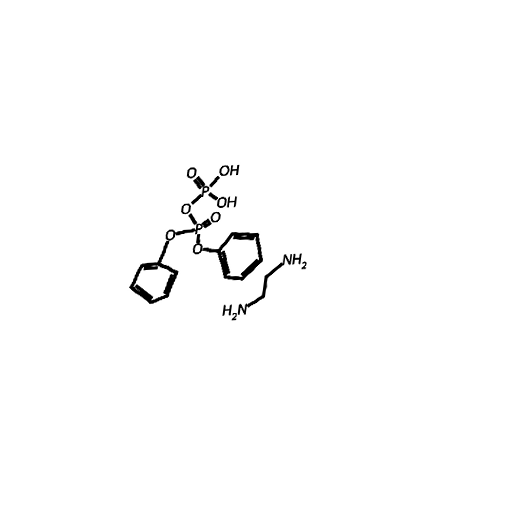 NCCN.O=P(O)(O)OP(=O)(Oc1ccccc1)Oc1ccccc1